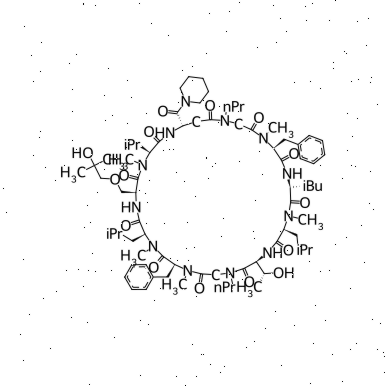 CCCN1CC(=O)N(C)[C@@H](Cc2ccccc2)C(=O)N[C@@H]([C@@H](C)CC)C(=O)N(C)[C@@H](CC(C)C)C(=O)N[C@@H]([C@@H](C)O)C(=O)N(CCC)CC(=O)N(C)[C@@H](Cc2ccccc2)C(=O)N(C)[C@@H](CC(C)C)C(=O)N[C@@H](COCC(C)(C)O)C(=O)N(C)[C@@H](C(C)C)C(=O)N[C@H](C(=O)N2CCCCC2)CC1=O